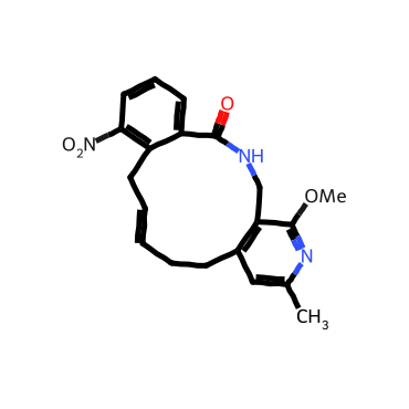 COc1nc(C)cc2c1CNC(=O)c1cccc([N+](=O)[O-])c1C/C=C/CC2